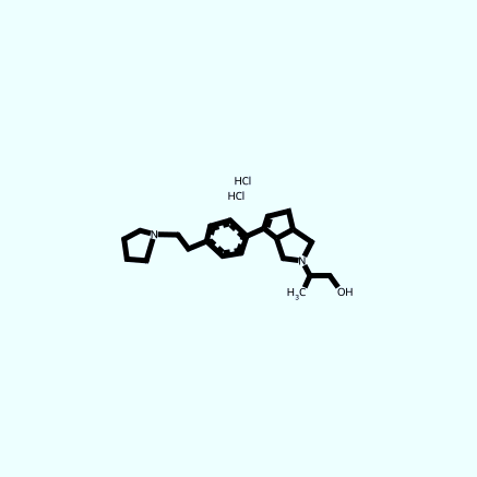 CC(CO)N1CC2CC=C(c3ccc(CCN4CCCC4)cc3)C2C1.Cl.Cl